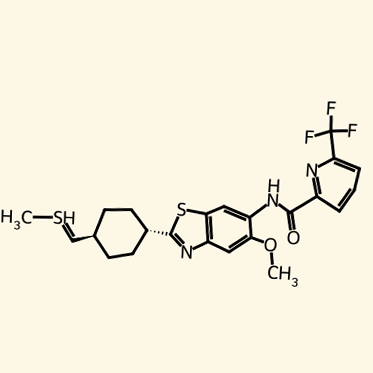 COc1cc2nc([C@H]3CC[C@H](C=[SH]C)CC3)sc2cc1NC(=O)c1cccc(C(F)(F)F)n1